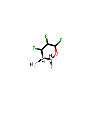 C[SiH]1C(F)C(F)C(F)O[SiH]1F